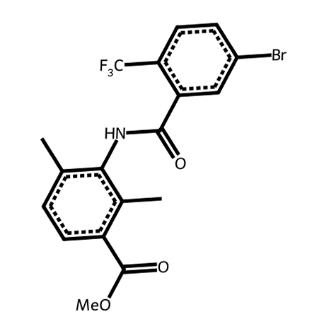 COC(=O)c1ccc(C)c(NC(=O)c2cc(Br)ccc2C(F)(F)F)c1C